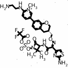 C[n+]1cc(-c2ccc3c(c2)OC[C@H](CO/N=C(\C(=O)N[C@@H]2C(=O)N(OS(=O)(=O)OC(=O)C(F)(F)F)C2(C)C)c2csc(N)n2)C3)ccc1NCCN